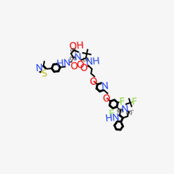 Cc1ncsc1-c1ccc(CNC(=O)[C@@H]2C[C@@H](O)CN2C(=O)[C@@H](NC(=O)CCCOc2ccc(COc3cc(F)c([C@@H]4c5[nH]c6ccccc6c5C[C@@H](C)N4CC(C)(C)F)c(F)c3)nc2)C(C)(C)C)cc1